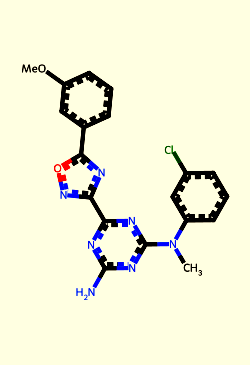 COc1cccc(-c2nc(-c3nc(N)nc(N(C)c4cccc(Cl)c4)n3)no2)c1